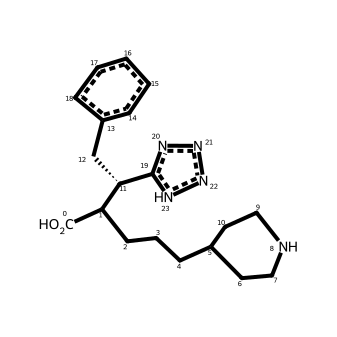 O=C(O)C(CCCC1CCNCC1)[C@H](Cc1ccccc1)c1nnn[nH]1